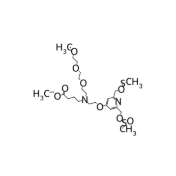 CCOC(=O)CCCN(CCOCCOCCOC)CCOc1cc(COSC)nc(COS(C)=O)c1